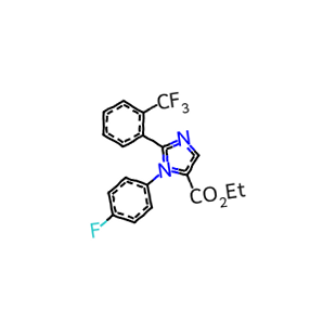 CCOC(=O)c1cnc(-c2ccccc2C(F)(F)F)n1-c1ccc(F)cc1